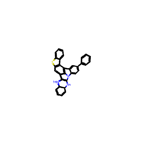 C1=CC2Nc3c(n4c5ccc(-c6ccccc6)cc5c5c6c(cc3c54)sc3ccccc36)NC2C=C1